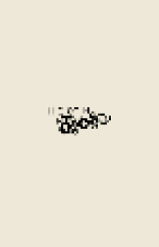 CC1N=c2ccc(F)c(S(=O)(=O)c3ccc(S(=O)(=O)N4CCOCC4)cc3)c2=C1CC(=O)O